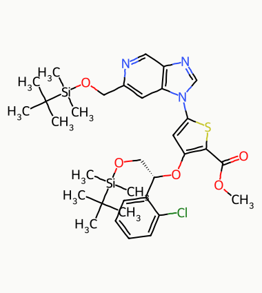 COC(=O)c1sc(-n2cnc3cnc(CO[Si](C)(C)C(C)(C)C)cc32)cc1O[C@@H](CO[Si](C)(C)C(C)(C)C)c1ccccc1Cl